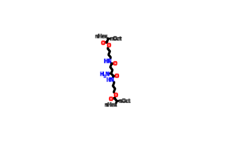 CCCCCCCCC(CCCCCC)C(=O)OCCCCNC(=O)CCC(N)C(=O)NCCCCOC(=O)C(CCCCCC)CCCCCCCC